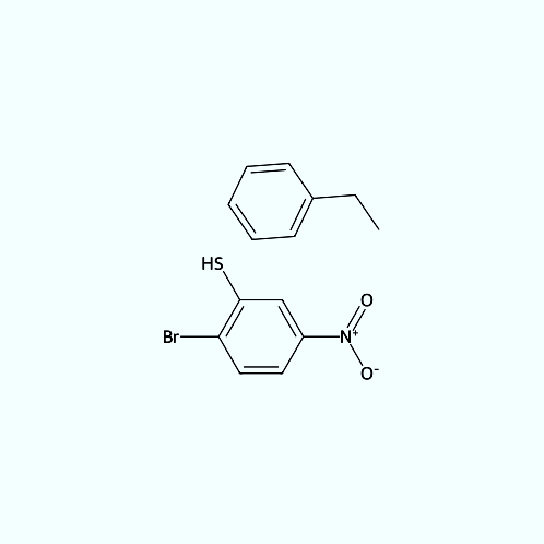 CCc1ccccc1.O=[N+]([O-])c1ccc(Br)c(S)c1